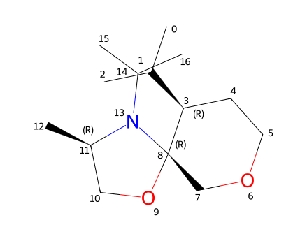 CC(C)[C@H]1CCOC[C@]12OC[C@@H](C)N2C(C)C